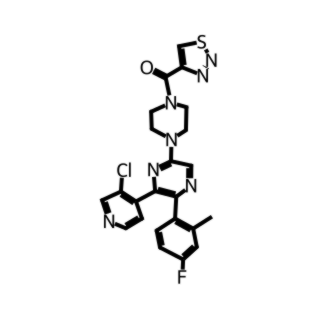 Cc1cc(F)ccc1-c1ncc(N2CCN(C(=O)c3csnn3)CC2)nc1-c1ccncc1Cl